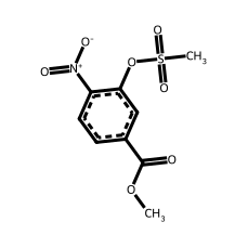 COC(=O)c1ccc([N+](=O)[O-])c(OS(C)(=O)=O)c1